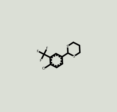 FC(F)(F)c1cc([C]2SCCCS2)ccc1Cl